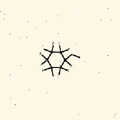 CCC1(F)C(F)(F)C(C)(F)C(F)(F)C(C)(F)C1(F)F